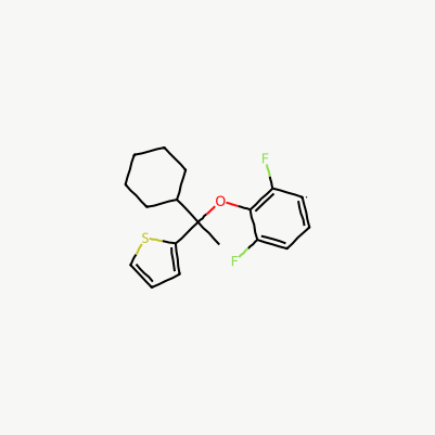 CC(Oc1c(F)[c]ccc1F)(c1cccs1)C1CCCCC1